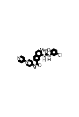 COc1ccc(Cl)cc1NC(=O)NC1CCCc2ccc(C(=O)N(C)C3CCN(c4ccncc4)CC3)cc21